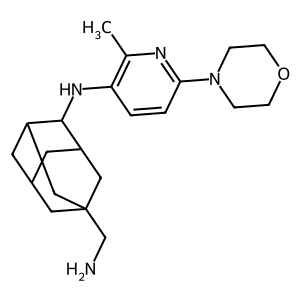 Cc1nc(N2CCOCC2)ccc1NC1C2CC3CC1CC(CN)(C3)C2